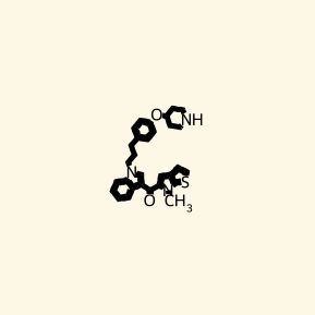 Cn1c(C(=O)c2cn(CCCc3ccc(OC4CCNCC4)cc3)c3ccccc23)cc2ccsc21